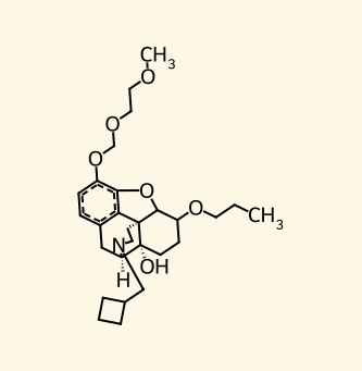 CCCOC1CC[C@@]2(O)[C@H]3Cc4ccc(OCOCCOC)c5c4[C@@]2(CCN3CC2CCC2)C1O5